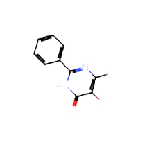 O=c1[nH]c(-c2ccccc2)nc(C(F)(F)F)c1Br